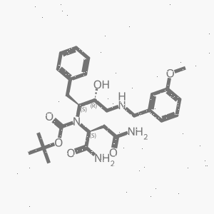 COc1cccc(CNC[C@@H](O)[C@H](Cc2ccccc2)N(C(=O)OC(C)(C)C)[C@@H](CC(N)=O)C(N)=O)c1